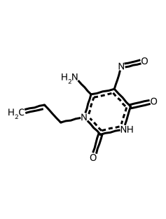 C=CCn1c(N)c(N=O)c(=O)[nH]c1=O